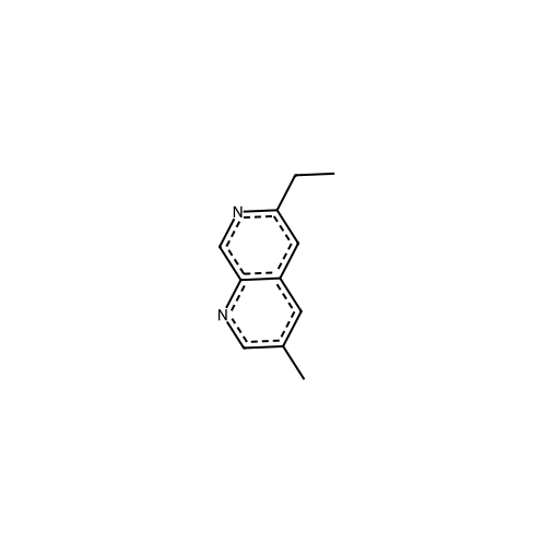 CCc1cc2cc(C)cnc2cn1